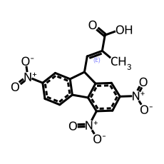 C/C(=C\C1c2cc([N+](=O)[O-])ccc2-c2c1cc([N+](=O)[O-])cc2[N+](=O)[O-])C(=O)O